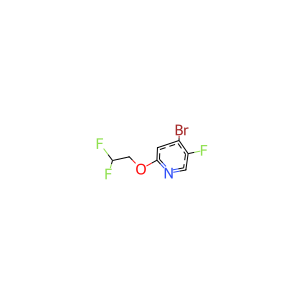 Fc1cnc(OCC(F)F)cc1Br